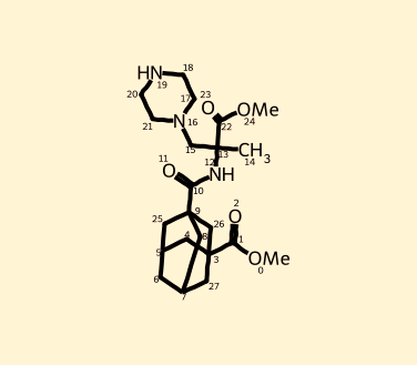 COC(=O)C12CC3CC(CC(C(=O)NC(C)(CN4CCNCC4)C(=O)OC)(C3)C1)C2